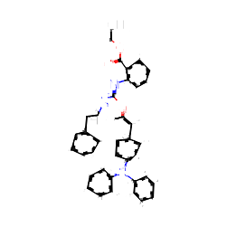 CCOC(=O)c1ccccc1/N=C(/NCCc1ccccc1)O/C(C)=C/c1ccc(N(c2ccccc2)c2ccccc2)cc1